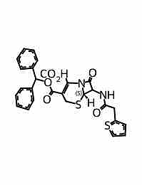 O=C(Cc1cccs1)NC1C(=O)N2C(C(=O)O)=C(C(=O)OC(c3ccccc3)c3ccccc3)CS[C@@H]12